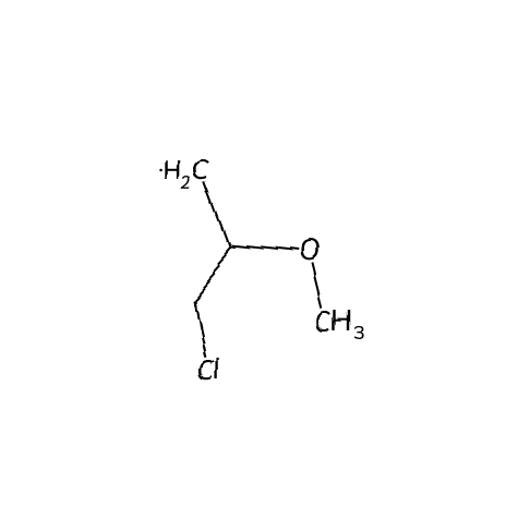 [CH2]C(CCl)OC